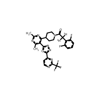 [2H]C([2H])(C(=O)N1CCC(c2nc(C)nc(C)c2-c2nnc(-c3ccnc(C(F)(F)F)n3)o2)CC1)c1c(F)cccc1F